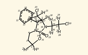 [2H]C1([2H])CCN(C(C)c2ccccc2)P(=O)(N(C([2H])([2H])C([2H])([2H])Cl)C([2H])([2H])C([2H])([2H])Cl)O1